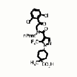 CCCCCN(CC(=O)c1c(Cl)cccc1Cl)C(=O)c1cnn([C@H]2CC[C@](C)(C(=O)O)CC2)c1C(F)(F)F